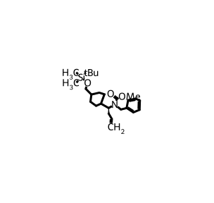 C=CC[C@@H](C1CCC(CO[Si](C)(C)C(C)(C)C)CC1)N(Cc1ccccc1)C(=O)OC